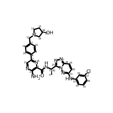 C[C@@H](NC(=O)c1nc(-c2ccc(CN3CC[C@@H](O)C3)cc2)cnc1N)c1nnc2ccc(Nc3cccc(Cl)c3)nn12